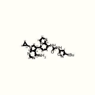 CC(C)(C)c1cc(NC(=O)Nc2ccc(-c3cn(C4CC4)c4ncnc(N)c34)n3ccnc23)on1